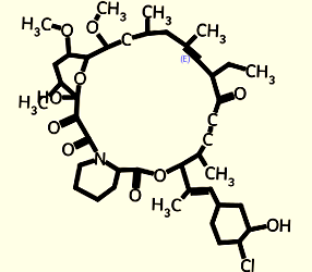 CCC1/C=C(\C)CC(C)CC(OC)C2OC(O)(C(=O)C(=O)N3CCCCC3C(=O)OC(C(C)=CC3CCC(Cl)C(O)C3)C(C)CCC1=O)C(C)CC2OC